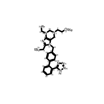 COCCN1Cc2c(nc(CC(C)(C)C)n2Cc2ccc(-c3ccccc3-c3nnn[nH]3)cc2)N(CC(C)C)C1